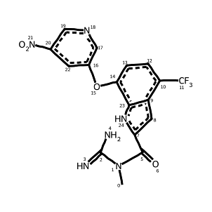 CN(C(=N)N)C(=O)c1cc2c(C(F)(F)F)ccc(Oc3cncc([N+](=O)[O-])c3)c2[nH]1